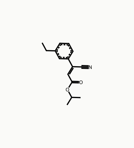 CCc1cccc(C(C#N)=CC(=O)OC(C)C)c1